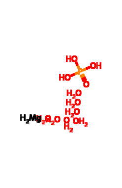 O.O.O.O.O.O.O.O=P(O)(O)O.[MgH2]